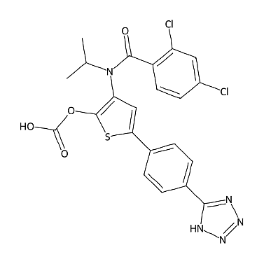 CC(C)N(C(=O)c1ccc(Cl)cc1Cl)c1cc(-c2ccc(-c3nnn[nH]3)cc2)sc1OC(=O)O